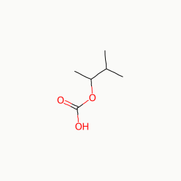 CC(C)C(C)OC(=O)O